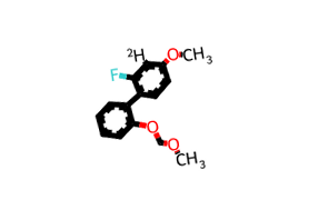 [2H]c1c(OC)ccc(-c2ccccc2OCOC)c1F